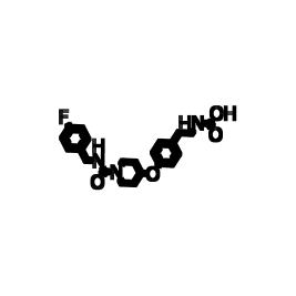 O=C(O)NCCc1ccc(OC2CCN(C(=O)NCc3ccc(F)cc3)CC2)cc1